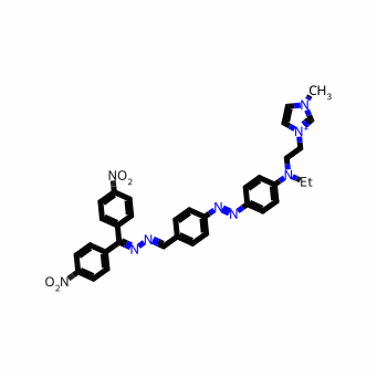 CCN(CC[n+]1ccn(C)c1)c1ccc(N=Nc2ccc(C=NN=C(c3ccc([N+](=O)[O-])cc3)c3ccc([N+](=O)[O-])cc3)cc2)cc1